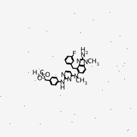 CN(c1ccnc(Nc2ccc(CS(C)(=O)=O)cc2)n1)c1ccc2c(nc(N)n2C)c1Cc1cccc(F)c1